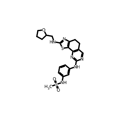 CS(=O)(=O)Nc1cccc(Nc2ncc3c(n2)-c2sc(NCC4CCCO4)nc2CC3)c1